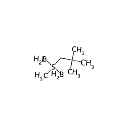 BS(B)(C)CC(C)(C)C